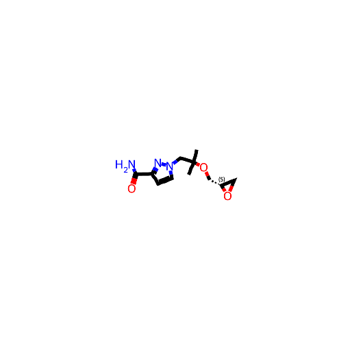 CC(C)(Cn1ccc(C(N)=O)n1)OC[C@@H]1CO1